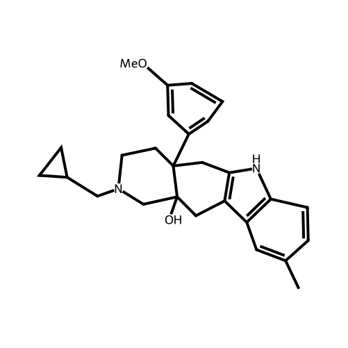 COc1cccc(C23CCN(CC4CC4)CC2(O)Cc2c([nH]c4ccc(C)cc24)C3)c1